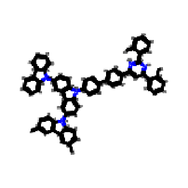 Cc1ccc2c(c1)c1cc(C)ccc1n2-c1ccc2c(c1)c1cc(-n3c4ccccc4c4ccccc43)ccc1n2-c1ccc(-c2ccc(-c3cc(-c4ccccc4C)nc(-c4ccccc4C)n3)cc2)cc1